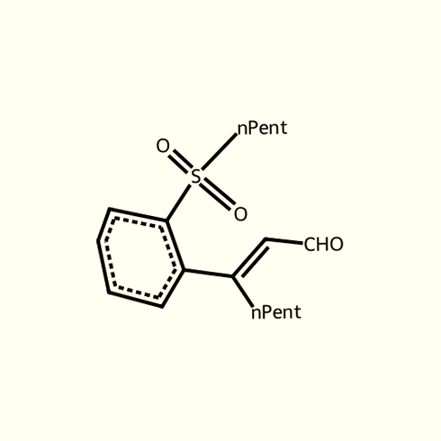 CCCCCC(=CC=O)c1ccccc1S(=O)(=O)CCCCC